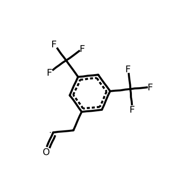 O=[C]Cc1cc(C(F)(F)F)cc(C(F)(F)F)c1